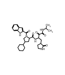 CC(C)NC(=O)C(=O)C(CC1CCNC1=O)NC(=O)C1CC(C2CCCCC2)CN1C(=O)c1cc2ccccc2[nH]1